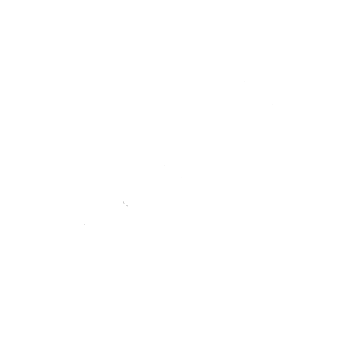 CC1(C)c2cc(-c3ccc4ccccc4c3)ccc2-c2c1cc(N(c1ccccc1)c1cccc3c1sc1ccccc13)c1ccccc21